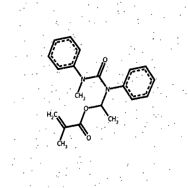 C=C(C)C(=O)OC(C)N(C(=O)N(C)c1ccccc1)c1ccccc1